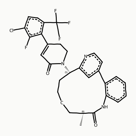 C[C@@H]1CCCC[C@H](N2CCC(c3c(C(F)(F)F)ccc(Cl)c3F)=CC2=O)c2cc(ccn2)-c2ccccc2NC1=O